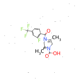 C[C@@H]1CN(C(=O)O)[C@@H](C)CN1C(=O)c1ccc(C(F)(F)F)cc1F